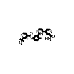 CNC(=O)c1cc(-c2ccnc(-c3cc(NC(=O)c4ccnc(C(C)(C)OC)c4)ccc3C)n2)ccn1